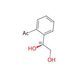 CC(=O)c1ccccc1[C@H](O)CO